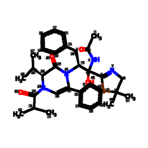 CC(=O)NC(O)(C1=NCC(C)(C)S1)[C@H](Cc1ccccc1)N1C(=O)[C@@H](C(C)C)N(C(=O)C(C)C)C=C1c1ccccc1